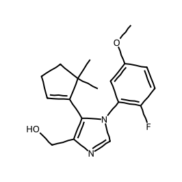 COc1ccc(F)c(-n2cnc(CO)c2C2=CCCC2(C)C)c1